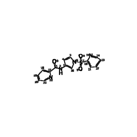 O=C(Nc1ccn(S(=O)(=O)c2ccccn2)c1)c1ccccn1